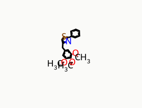 COc1cc(Cc2csc(-c3ccccc3)n2)cc(OC)c1OC